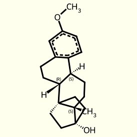 COc1ccc2c(c1)CC[C@@H]1[C@@H]2CC[C@]2(C)[C@]3(O)CC[C@@]12CC3